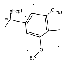 CCCCCCC[C@H](C)c1cc(OCC)c(C)c(OCC)c1